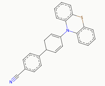 N#Cc1ccc(C2C=CC(N3c4ccccc4Sc4ccccc43)=CC2)cc1